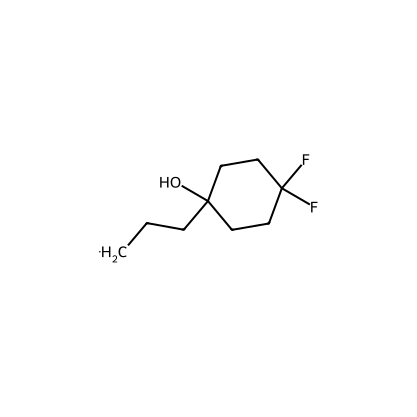 [CH2]CCC1(O)CCC(F)(F)CC1